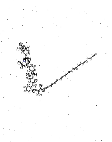 C#CC#CC#CC#CC#CC#CC#CC#CC#CC#CC#COC(=O)C(CC)C(=O)CC(C(=O)CC(C)(C)C(=O)Nc1cccc(NC(=O)/C(=N\Nc2ccc3[nH]c(=O)[nH]c3c2)C(C)=O)c1)c1ccccc1